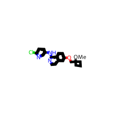 COC1(COc2ccc3c(Nc4ccc(Cl)nc4)nccc3c2)CCC1